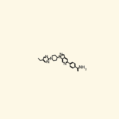 C=C(N)c1ccc(-c2cc3cnn(C4CCN(c5ncc(CC)cn5)CC4)c3cn2)cc1